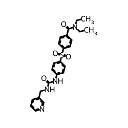 CCN(CC)C(=O)c1ccc(S(=O)(=O)c2ccc(NC(=O)NCc3cccnc3)cc2)cc1